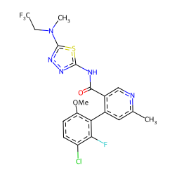 COc1ccc(Cl)c(F)c1-c1cc(C)ncc1C(=O)Nc1nnc(N(C)CC(F)(F)F)s1